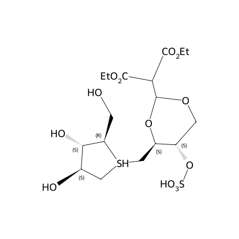 CCOC(=O)C(C(=O)OCC)C1OC[C@H](OS(=O)(=O)O)[C@@H](C[SH]2C[C@@H](O)[C@H](O)[C@H]2CO)O1